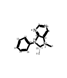 C[C@H]1N(C)c2cncnc2N1c1ccccc1